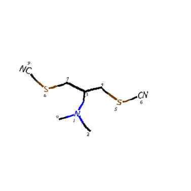 CN(C)C(CSC#N)CSC#N